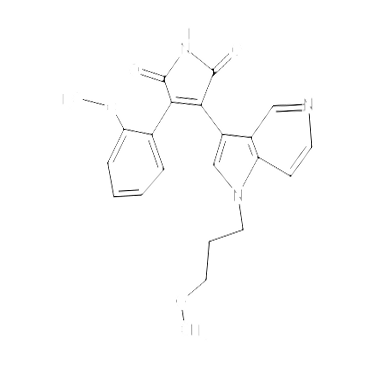 COCCCn1cc(C2=C(c3ccccc3OC)C(=O)NC2=O)c2cnccc21